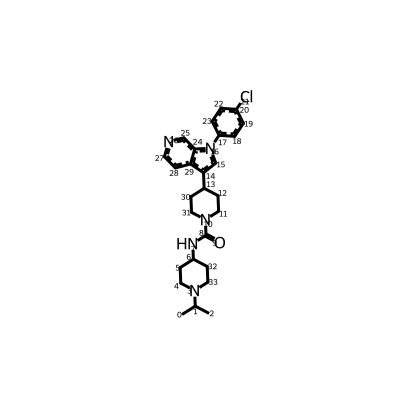 CC(C)N1CCC(NC(=O)N2CCC(c3cn(-c4ccc(Cl)cc4)c4cnccc34)CC2)CC1